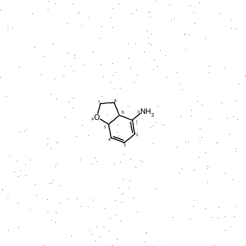 NC1=CC=CC2OCCC12